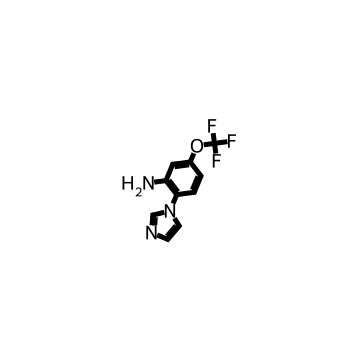 Nc1cc(OC(F)(F)F)ccc1-n1ccnc1